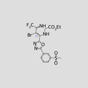 CCOC(=O)CN/C(=C(/Br)C(=N)C(F)(F)F)c1nnc(-c2cccc(S(C)(=O)=O)c2)o1